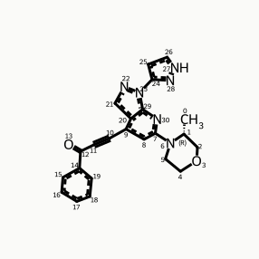 C[C@@H]1COCCN1c1cc(C#CC(=O)c2ccccc2)c2cnn(-c3cc[nH]n3)c2n1